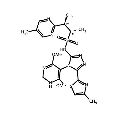 COC1=NCNC(OC)=C1n1c(NS(=O)(=O)[C@@H](C)[C@H](C)c2ncc(C)cn2)nnc1-c1nc(C)cs1